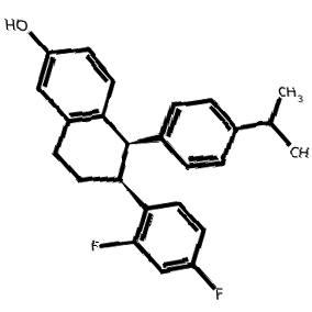 CC(C)c1ccc([C@@H]2c3ccc(O)cc3CC[C@@H]2c2ccc(F)cc2F)cc1